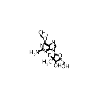 CCOc1nc(N)nc2c1ncn2[C@@H]1O[C@H](CO)C(O)[C@@]1(C)F